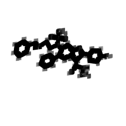 CNC(=O)c1c(-c2ccc(F)cc2)oc2cc(N(CCNCc3ccccc3)S(C)(=O)=O)c(-c3ccccc3)cc12